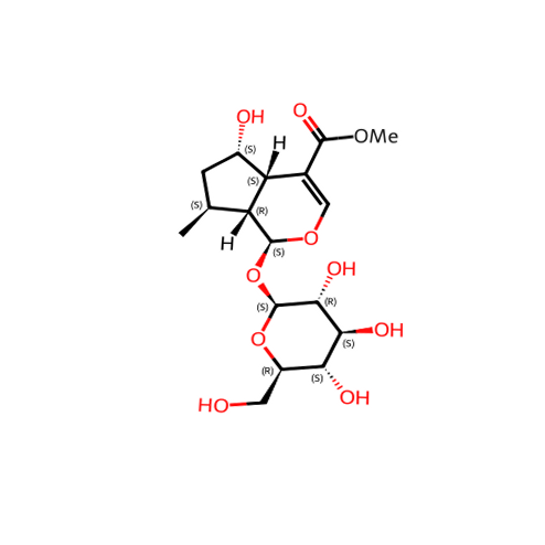 COC(=O)C1=CO[C@@H](O[C@@H]2O[C@H](CO)[C@@H](O)[C@H](O)[C@H]2O)[C@H]2[C@@H]1[C@@H](O)C[C@@H]2C